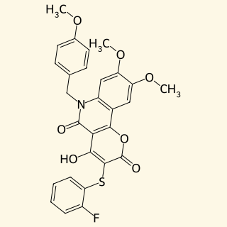 COc1ccc(Cn2c(=O)c3c(O)c(Sc4ccccc4F)c(=O)oc3c3cc(OC)c(OC)cc32)cc1